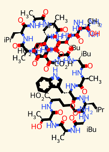 CC[C@H](C)[C@H](NC(=O)[C@H](CC(C)C)NC(=O)[C@H](Cc1c[nH]c2ccccc12)NC(=O)[C@H](C)NC(=O)[C@@H](NC(=O)[C@H](Cc1ccccc1)NC(=O)[C@H](CC(=O)O)NC(=O)[C@H](CCCNC(=N)N)NC(=O)[C@H](C)NC(=O)[C@H](C)NC(=O)[C@H](CC(C)C)NC(=O)[C@H](C)NC(=O)[C@H](CC(=O)O)NC(=O)[C@H](CC(C)C)NC(=O)[C@@H](NC(=O)[C@@H](N)[C@@H](C)O)[C@@H](C)CC)[C@@H](C)CC)C(=O)N[C@@H](C)C(=O)N[C@H](C(=O)N[C@@H](CCCCN)C(=O)O)[C@@H](C)O